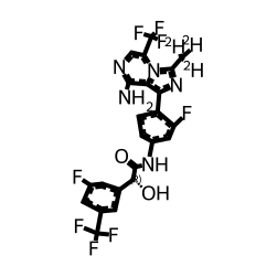 [2H]C([2H])([2H])c1nc(-c2ccc(NC(=O)[C@H](O)c3cc(F)cc(C(F)(F)F)c3)cc2F)c2c(N)ncc(C(F)(F)F)n12